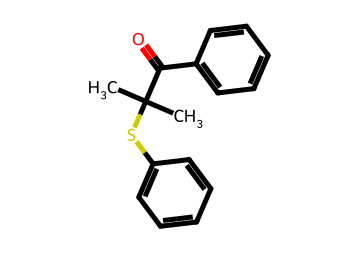 CC(C)(Sc1ccccc1)C(=O)c1ccccc1